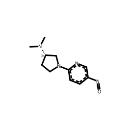 CN(C)[C@H]1CCN(c2ccc(N=O)cn2)C1